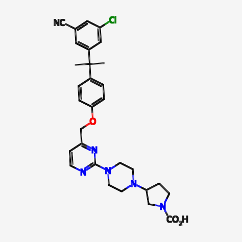 CC(C)(c1ccc(OCc2ccnc(N3CCN(C4CCN(C(=O)O)C4)CC3)n2)cc1)c1cc(Cl)cc(C#N)c1